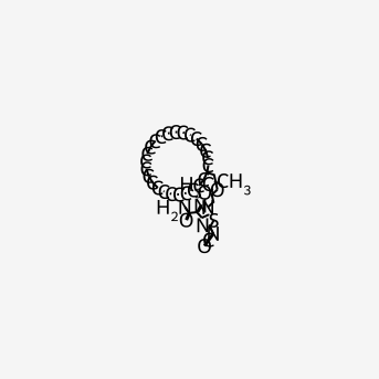 CC(C)(CC1CCCCCCCCCCCCCCCCCCCCCCCCC1)OC(=O)CN1N=C(C(N)=O)C2N=C(N=C=O)SC21